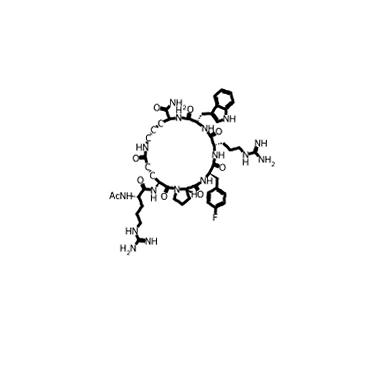 CC(=O)N[C@@H](CCCNC(=N)N)C(=O)N[C@H]1CCC(=O)NCCCC(C(N)=O)NC(=O)[C@H](Cc2c[nH]c3ccccc23)NC(=O)[C@H](CCCNC(=N)N)NC(=O)[C@@H](Cc2ccc(F)cc2)NC(=O)[C@@H]2CCCN2C1=O